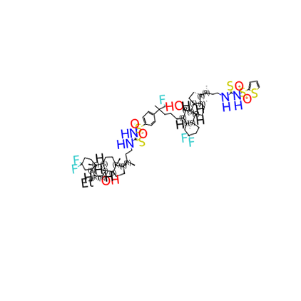 CC[C@H]1[C@@H](O)[C@@H]2[C@H](CC[C@]3(C)[C@@H]([C@H](C)CCNC(=S)NS(=O)(=O)c4ccc(C(C)(CF)CCC[C@H]5[C@@H](O)[C@@H]6[C@H](CC[C@]7(C)[C@@H]([C@H](C)CCNC(=S)NS(=O)(=O)c8cccs8)CC[C@@H]67)[C@@]6(C)CCC(F)(F)C[C@@H]56)cc4)CC[C@@H]23)[C@@]2(C)CCC(F)(F)C[C@@H]12